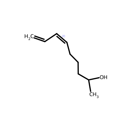 C=C/C=C\CCCC(C)O